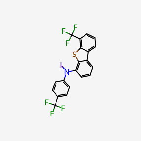 FC(F)(F)c1ccc(N(I)c2cccc3c2sc2c(C(F)(F)F)cccc23)cc1